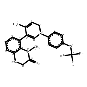 CC1=CCN(c2ccc(OC(F)(F)F)cc2)C=C1c1cccc2c1N(C)C(=O)CO2